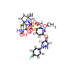 COCCOC(=O)N1[C@@H]2CC[C@H]1[C@H](C(=O)NO)N(S(=O)(=O)c1ccc(Oc3cnn(-c4ccc(F)cc4)c3)nc1)C2